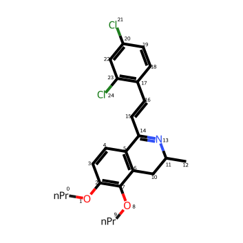 CCCOc1ccc2c(c1OCCC)CC(C)N=C2/C=C/c1ccc(Cl)cc1Cl